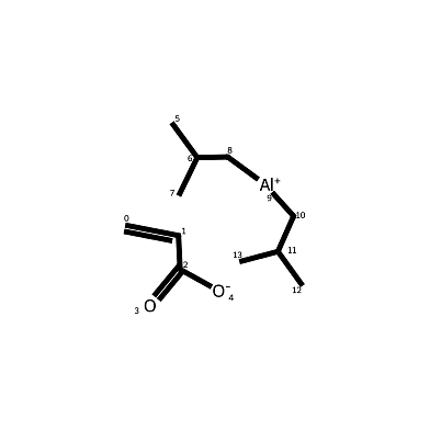 C=CC(=O)[O-].CC(C)[CH2][Al+][CH2]C(C)C